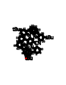 CC(C)(C)c1ccc2c(c1)c1ccccc1n2-c1c(C#N)c(-n2c3ccccc3c3cc(C(C)(C)C)ccc32)c(-n2c3ccccc3c3cc(C(C)(C)C)ccc32)c(-c2ccccc2N)c1-n1c2ccccc2c2cc(C(C)(C)C)ccc21